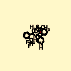 CN(C)S(=O)(=O)C(NC(=O)c1ccccc1OC(F)(F)F)C1(C2=CCCCC2)CCNCC1